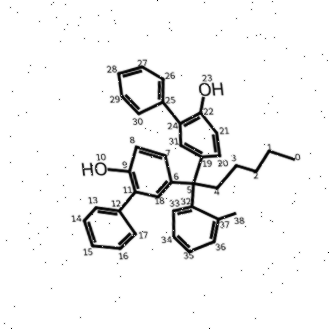 CCCCCC(c1ccc(O)c(-c2ccccc2)c1)(c1ccc(O)c(-c2ccccc2)c1)c1ccccc1C